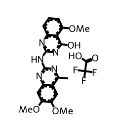 COc1cc2nc(Nc3nc(O)c4c(OC)cccc4n3)nc(C)c2cc1OC.O=C(O)C(F)(F)F